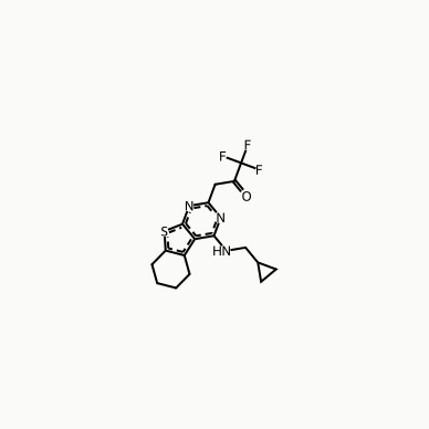 O=C(Cc1nc(NCC2CC2)c2c3c(sc2n1)CCCC3)C(F)(F)F